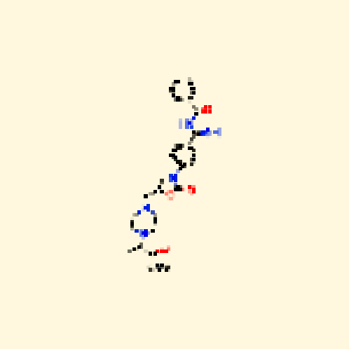 COC(=O)C(C)N1CCN(CC2CN(c3ccc(C(=N)NC(=O)c4ccccc4)cc3)C(=O)O2)CC1